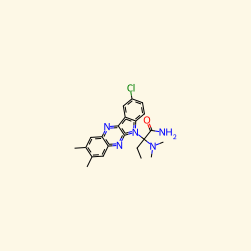 CCC(C(N)=O)(N(C)C)n1c2ccc(Cl)cc2c2nc3cc(C)c(C)cc3nc21